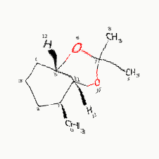 C[C@H]1CCC[C@@H]2OC(C)(C)O[C@@H]21